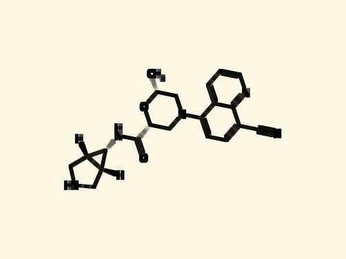 C[C@@H]1CN(c2ccc(C#N)c3ncccc23)C[C@H](C(=O)N[C@@H]2[C@@H]3CNC[C@@H]32)O1